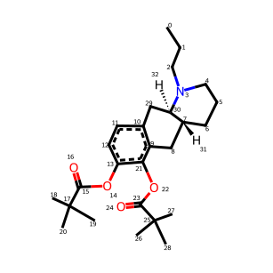 CCCN1CCC[C@@H]2Cc3c(ccc(OC(=O)C(C)(C)C)c3OC(=O)C(C)(C)C)C[C@H]21